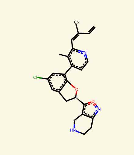 C=C/C(C#N)=C\c1nccc(-c2cc(Cl)cc3c2O[C@@H](c2onc4c2CNCC4)C3)c1C